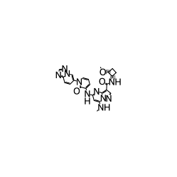 CNc1cc(Nc2cccn(-c3ccc4ncnn4c3)c2=O)nc2c(C(=O)N[C@@H]3CC[C@H]3OC)cnn12